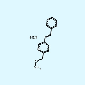 Cl.NOCc1ccc(C=Cc2ccccc2)cc1